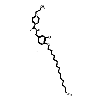 CCCCCCCCCCCCCCCCOc1ccc(CNC(=O)c2cc[n+](CCC)cc2)cc1Cl.[I-]